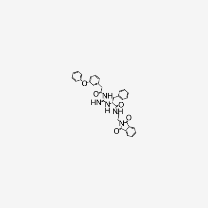 N=C(NC(=O)Cc1cccc(Oc2ccccc2)c1)N[C@@H](Cc1ccccc1)C(=O)NCCN1C(=O)c2ccccc2C1=O